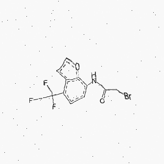 O=C(CBr)Nc1ccc(C(F)(F)F)c2ccoc12